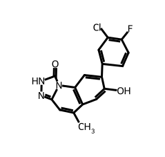 Cc1cc2n[nH]c(=O)n2c2cc(-c3ccc(F)c(Cl)c3)c(O)cc12